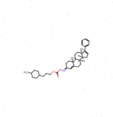 CC1CCC(CCCOC(=O)O/N=C2/C=C3CC[C@@H]4C(CC[C@]5(C)C(c6ccccc6)=CC[C@H]45)[C@@]3(C)CC2)CC1